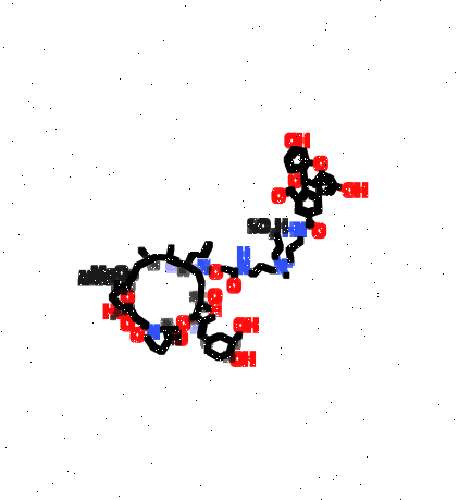 C=CC[C@@H]1/C=C(\C)C[C@H](C)C[C@H](OC)[C@H]2O[C@@](O)(C(=O)C(=O)N3CCCC[C@H]3C(=O)O[C@H](/C(C)=C/[C@@H]3CC[C@@H](O)[C@H](CO)C3)[C@H](C)[C@@H](O)C/C1=N\OCC(=O)NCCC[N+](C)(CCCNC(=O)c1ccc3c(c1)C(=O)OC31c3ccc(O)cc3Oc3cc(O)ccc31)CCCS(=O)(=O)O)[C@H](C)C[C@@H]2OC